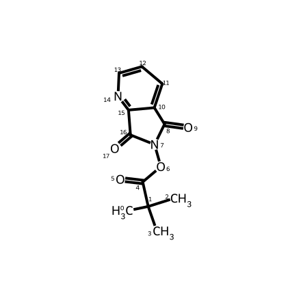 CC(C)(C)C(=O)ON1C(=O)c2cccnc2C1=O